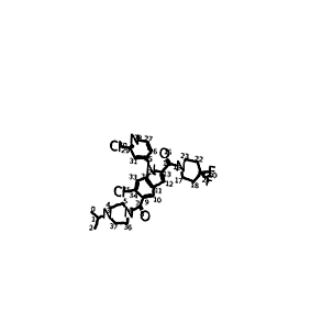 CC(C)N1CCN(C(=O)c2cc3cc(C(=O)N4CCC(F)(F)CC4)n(-c4ccnc(Cl)c4)c3cc2Cl)CC1